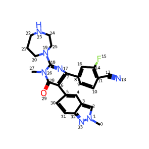 Cn1cc2cc(-c3c(-c4ccc(C#N)c(F)c4)nc(N4CCCNCC4)n(C)c3=O)ccc2n1